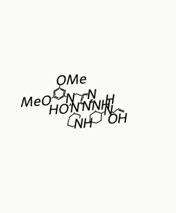 C=CC(O)NC1CCCCC1Nc1ncc2c(n1)N(C1CCCNC1)C(O)N(c1cc(OC)cc(OC)c1)C2